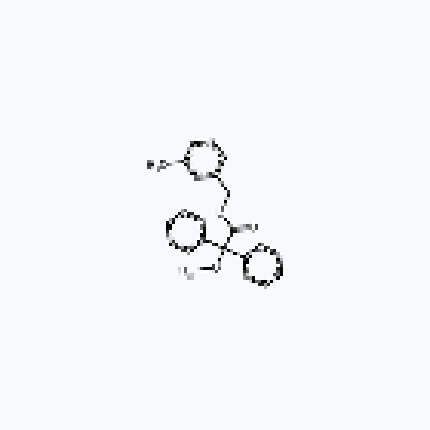 COC(C(=O)OCc1cccc(C)c1)(c1ccccc1)c1ccccc1